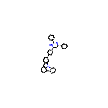 C1=C(c2ccc(-c3ccc4c5cccc6c7ccccc7n(c4c3)c65)cc2)NC(c2ccccc2)N=C1c1ccccc1